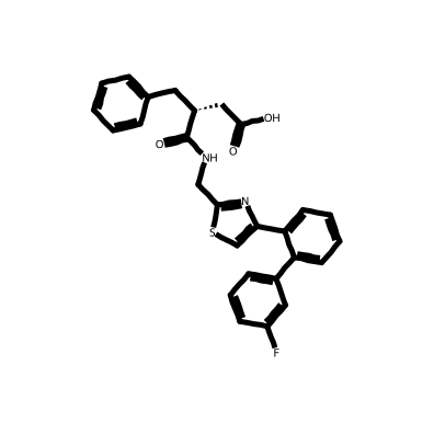 O=C(O)C[C@@H](Cc1ccccc1)C(=O)NCc1nc(-c2ccccc2-c2cccc(F)c2)cs1